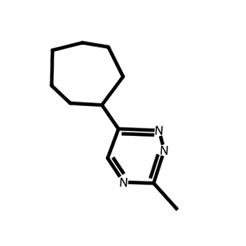 Cc1ncc(C2CCCCCC2)nn1